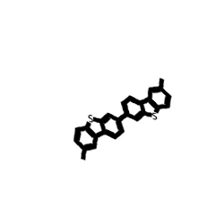 Cc1ccc2sc3cc(-c4ccc5c(c4)sc4ccc(C)cc45)ccc3c2c1